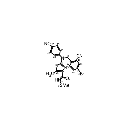 CSNC(=O)c1nc(N(Cc2ccc(Br)cc2C#N)c2ccc(C#N)cc2)sc1C